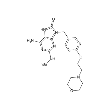 CCCCNc1nc(N)c2[nH]c(=O)n(Cc3ccc(OCCN4CCOCC4)nc3)c2n1